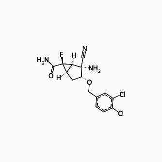 N#C[C@]1(N)[C@H]2[C@@H](C[C@H]1OCc1ccc(Cl)c(Cl)c1)[C@]2(F)C(N)=O